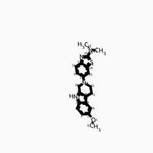 COc1ccc2[nH]c3c(c2c1)CCN(c1ccc2nc(N(C)C)sc2c1)C3